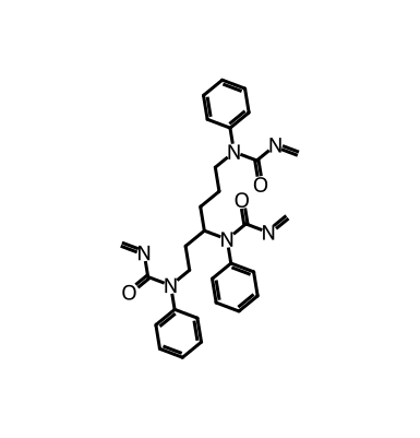 C=NC(=O)N(CCCC(CCN(C(=O)N=C)c1ccccc1)N(C(=O)N=C)c1ccccc1)c1ccccc1